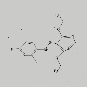 Cc1cc(F)ccc1NSc1c(OCC(F)(F)F)ncnc1OCC(F)(F)F